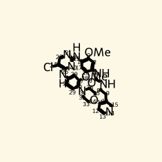 COc1cc(NC(=O)NCCc2cccnc2)ccc1Nc1ncc(Cl)c(Nc2ccc(N3CCOCC3)c(OC)c2)n1